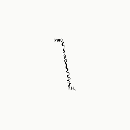 COCCOCCOCCOCCCCCOCOOCCN